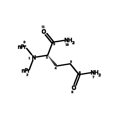 CCCN(CCC)[C@@H](CCC(N)=O)C(N)=O